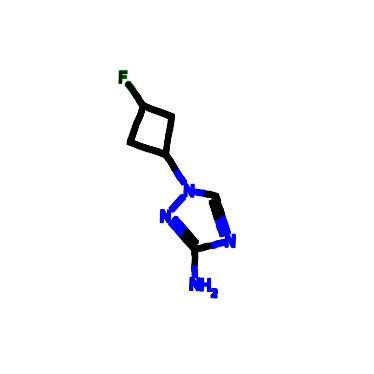 Nc1ncn(C2CC(F)C2)n1